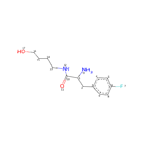 NC(Cc1ccc(F)cc1)C(=O)NCCCCO